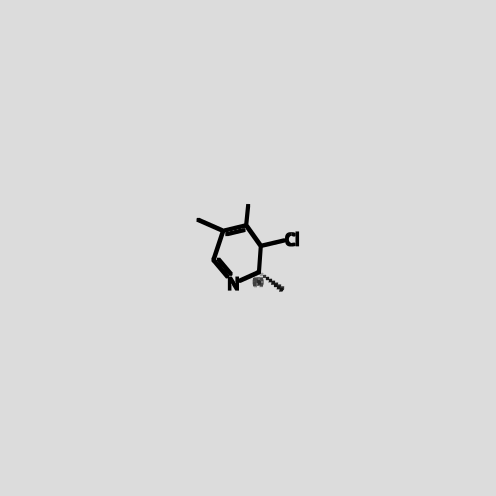 CC1=C(C)C(Cl)[C@H](C)N=C1